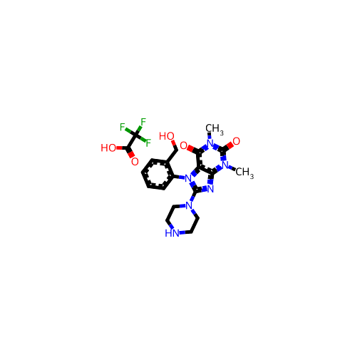 Cn1c(=O)c2c(nc(N3CCNCC3)n2-c2ccccc2CO)n(C)c1=O.O=C(O)C(F)(F)F